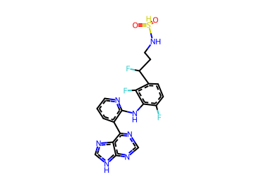 O=[SH](=O)NCCC(F)c1ccc(F)c(Nc2ncccc2-c2ncnc3[nH]cnc23)c1F